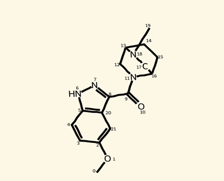 COc1ccc2[nH]nc(C(=O)N3CC4CCC3CN4C)c2c1